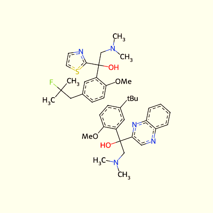 COc1ccc(C(C)(C)C)cc1C(O)(CN(C)C)c1cnc2ccccc2n1.COc1ccc(CC(C)(C)F)cc1C(O)(CN(C)C)c1nccs1